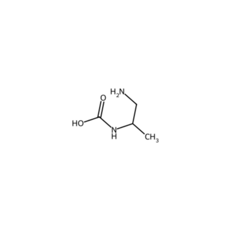 CC(CN)NC(=O)O